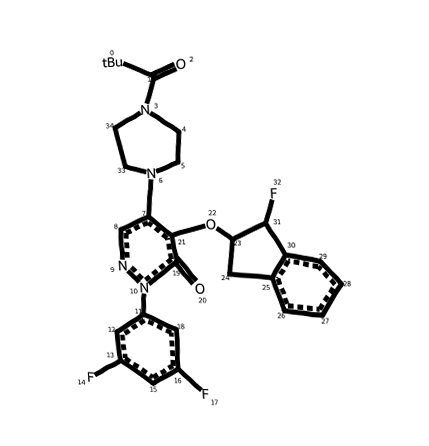 CC(C)(C)C(=O)N1CCN(c2cnn(-c3cc(F)cc(F)c3)c(=O)c2OC2Cc3ccccc3C2F)CC1